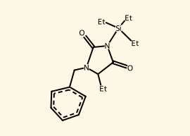 CCC1C(=O)N([Si](CC)(CC)CC)C(=O)N1Cc1ccccc1